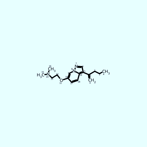 C=C(CCC)c1cnn2cc(OCCN(C)C)ccc12